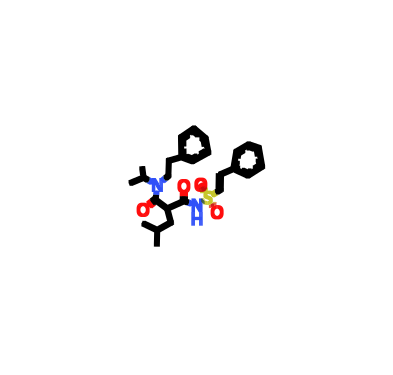 CC(C)CC(C(=O)NS(=O)(=O)C=Cc1ccccc1)C(=O)N(CCc1ccccc1)C(C)C